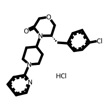 Cl.O=C1COC[C@H](Cc2ccc(Cl)cc2)N1C1CCN(c2ccccn2)CC1